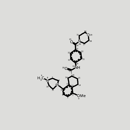 COc1ccc(N2CCN(C)CC2)c2c1CC[C@@H](C(=O)Nc1ccc(C(=O)N3CCOCC3)cc1)C2